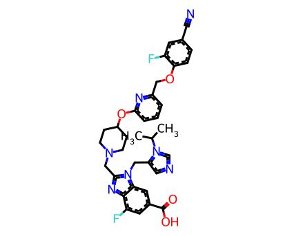 CC(C)n1cncc1Cn1c(CN2CCC(Oc3cccc(COc4ccc(C#N)cc4F)n3)CC2)nc2c(F)cc(C(=O)O)cc21